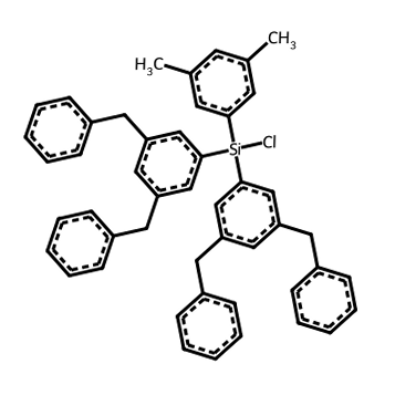 Cc1cc(C)cc([Si](Cl)(c2cc(Cc3ccccc3)cc(Cc3ccccc3)c2)c2cc(Cc3ccccc3)cc(Cc3ccccc3)c2)c1